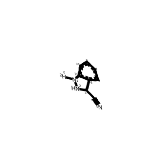 [2H]N1NC(C#N)c2ccccc21